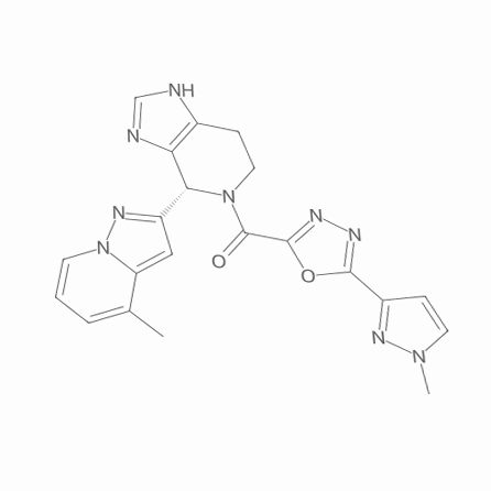 Cc1cccn2nc([C@@H]3c4nc[nH]c4CCN3C(=O)c3nnc(-c4ccn(C)n4)o3)cc12